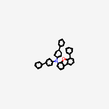 C1=CC(c2ccccc2)CC=C1N(c1ccc(-c2ccccc2)cc1)c1cccc2c1oc1c(-c3ccccc3)cccc12